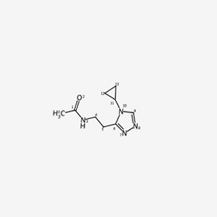 CC(=O)NCCc1nncn1C1CC1